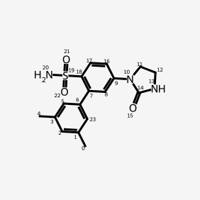 Cc1cc(C)cc(-c2cc(N3CCNC3=O)ccc2S(N)(=O)=O)c1